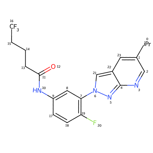 CC(C)c1cnc2nn(-c3cc(NC(=O)CCCC(F)(F)F)ccc3F)cc2c1